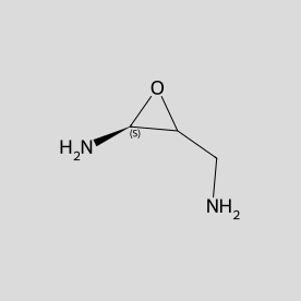 NCC1O[C@@H]1N